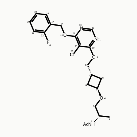 CC(=O)N[C@@H](C)CO[C@H]1C[C@H](COc2ncnc(OCc3ccccc3F)c2Cl)C1